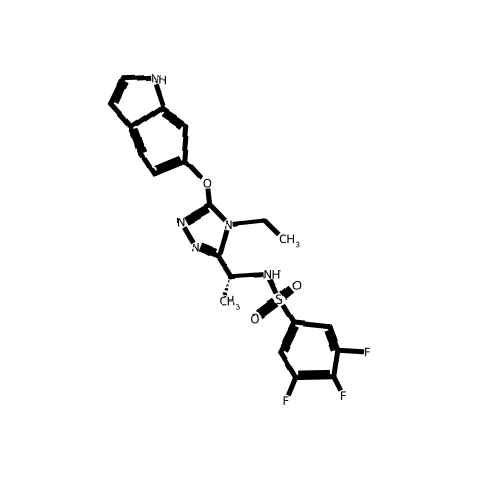 CCn1c(Oc2ccc3cc[nH]c3c2)nnc1[C@@H](C)NS(=O)(=O)c1cc(F)c(F)c(F)c1